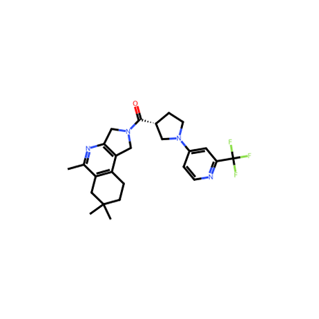 Cc1nc2c(c3c1CC(C)(C)CC3)CN(C(=O)[C@@H]1CCN(c3ccnc(C(F)(F)F)c3)C1)C2